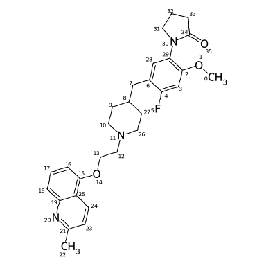 COc1cc(F)c(CC2CCN(CCOc3cccc4nc(C)ccc34)CC2)cc1N1CCCC1=O